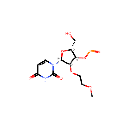 COCCO[C@@H]1[C@H](OP=O)[C@@H](CO)O[C@H]1n1ccc(=O)[nH]c1=O